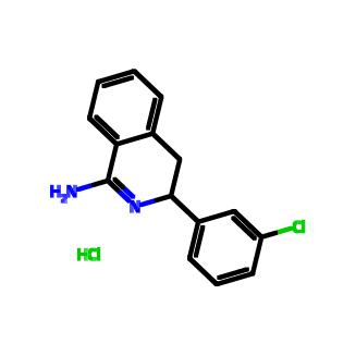 Cl.NC1=NC(c2cccc(Cl)c2)Cc2ccccc21